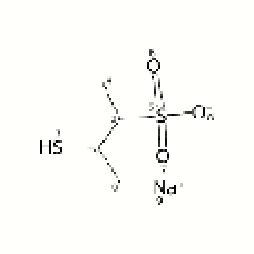 CC(S)C(C)S(=O)(=O)[O-].[Na+]